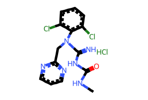 CNC(=O)NC(=N)N(Cc1ncccn1)c1c(Cl)cccc1Cl.Cl